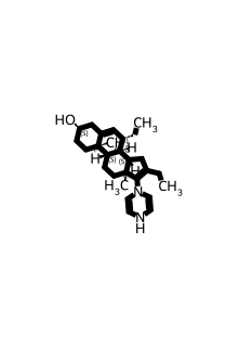 CCC1=C(N2C=CNC=C2)[C@@]2(C)CC[C@H]3[C@@H]([C@@H](CC)C=C4C[C@@H](O)CC[C@@]43C)[C@@H]2C1